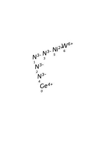 [Ge+4].[N-3].[N-3].[N-3].[N-3].[Ni+2].[W+6]